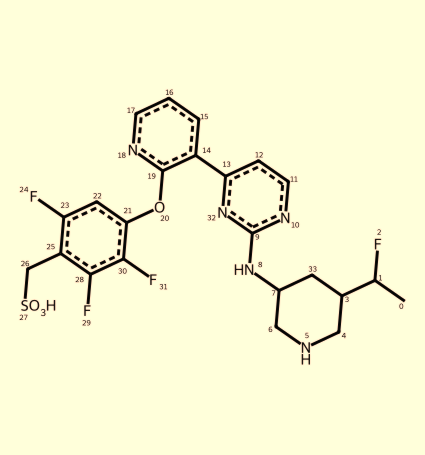 CC(F)C1CNCC(Nc2nccc(-c3cccnc3Oc3cc(F)c(CS(=O)(=O)O)c(F)c3F)n2)C1